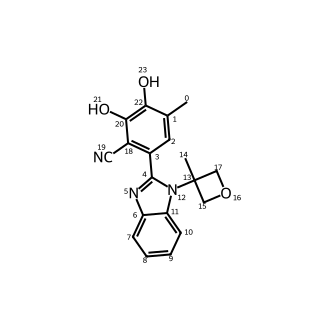 Cc1cc(-c2nc3ccccc3n2C2(C)COC2)c(C#N)c(O)c1O